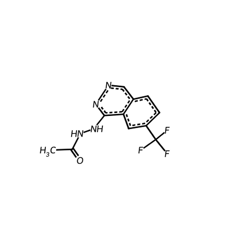 CC(=O)NNc1nncc2ccc(C(F)(F)F)cc12